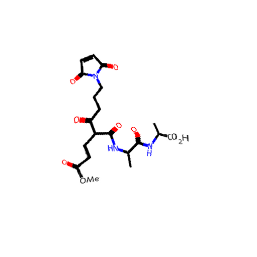 COC(=O)CCC(C(=O)CCCN1C(=O)C=CC1=O)C(=O)NC(C)C(=O)NC(C)C(=O)O